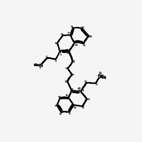 COCC[N+]1=C(CCCCC2=[N+](CCOC)CCc3ccccc32)c2ccccc2CC1